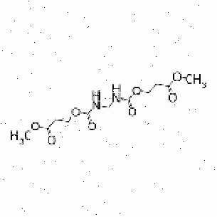 COC(=O)CCOC(=O)NCNC(=O)OCCC(=O)OC